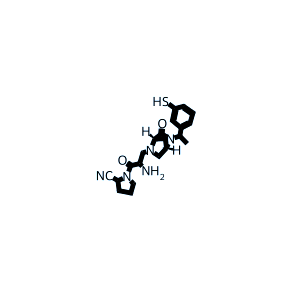 CC(c1cccc(S)c1)N1C(=O)[C@@H]2C[C@H]1CN2CC(N)C(=O)N1CCCC1C#N